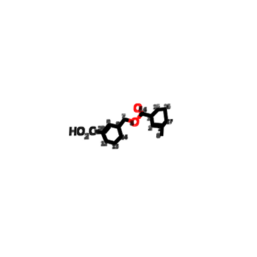 CC1=CC(C(=O)OCC2C=C(C(=O)O)CCC2)CCC1